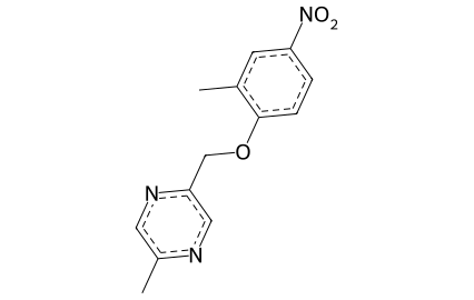 Cc1cnc(COc2ccc([N+](=O)[O-])cc2C)cn1